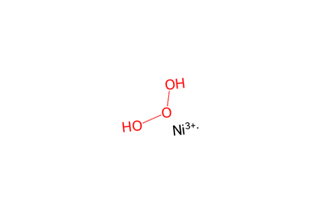 OOO.[Ni+3]